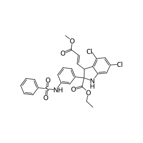 CCOC(=O)C1(c2cccc(NS(=O)(=O)c3ccccc3)c2)Nc2cc(Cl)cc(Cl)c2C1C=CC(=O)OC